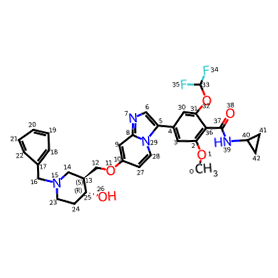 COc1cc(-c2cnc3cc(OC[C@@H]4CN(Cc5ccccc5)CC[C@H]4O)ccn23)cc(OC(F)F)c1C(=O)NC1CC1